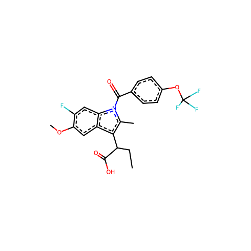 CCC(C(=O)O)c1c(C)n(C(=O)c2ccc(OC(F)(F)F)cc2)c2cc(F)c(OC)cc12